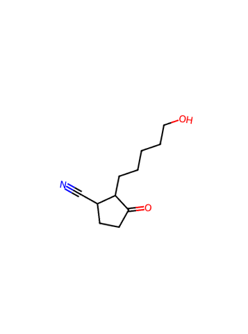 N#CC1CCC(=O)C1CCCCCO